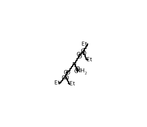 CC/C=C\CCCCOC(CCC(=O)OCCCCCCCN(CCCCCCCOC(=O)CCC(OCCCC/C=C\CC)OCCCC/C=C\CC)CCCCS(N)(=O)=O)OCCCC/C=C\CC